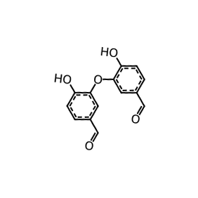 O=Cc1ccc(O)c(Oc2cc(C=O)ccc2O)c1